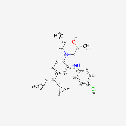 C[C@@H]1CN(c2ccc(C(CC(=O)O)C3CC3)cc2Nc2ccc(Cl)cc2)C[C@H](C)O1